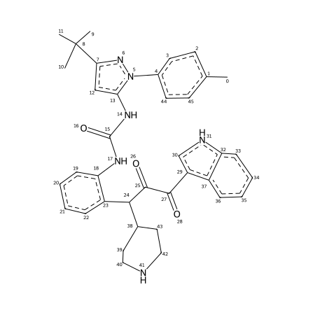 Cc1ccc(-n2nc(C(C)(C)C)cc2NC(=O)Nc2ccccc2C(C(=O)C(=O)c2c[nH]c3ccccc23)C2CCNCC2)cc1